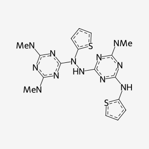 CNc1nc(Nc2cccs2)nc(NN(c2nc(NC)nc(NC)n2)c2cccs2)n1